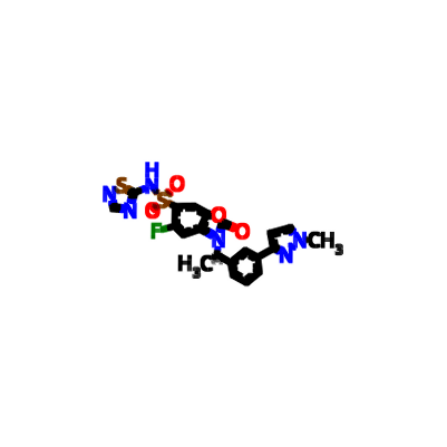 C[C@H](c1cccc(-c2ccn(C)n2)c1)n1c(=O)oc2cc(S(=O)(=O)Nc3ncns3)c(F)cc21